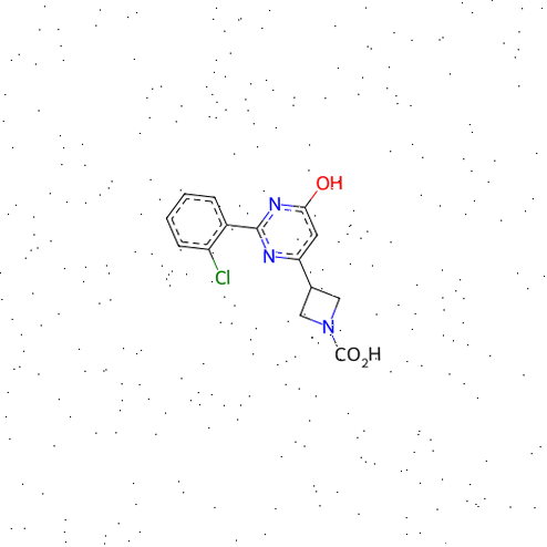 O=C(O)N1CC(c2cc(O)nc(-c3ccccc3Cl)n2)C1